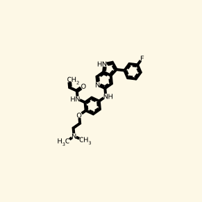 C=CC(=O)Nc1cc(Nc2cc3c(-c4cccc(F)c4)c[nH]c3cn2)ccc1OCCN(C)C